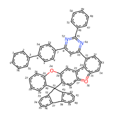 c1ccc(-c2ccc(-c3cc(-c4cccc5oc6cc7c(cc6c45)Oc4ccccc4C74c5ccccc5-c5ccccc54)nc(-c4ccccc4)n3)cc2)cc1